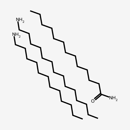 CCCCCCCCCCCCC(N)=O.CCCCCCCCCCCCCCN.CCCCCCCCCCCCN